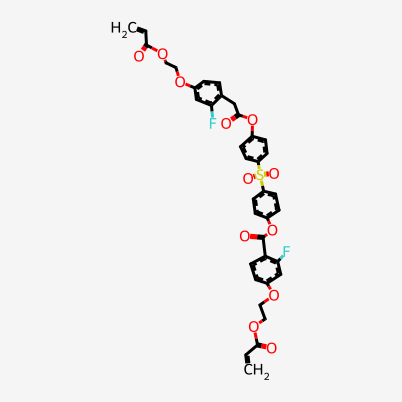 C=CC(=O)OCCOc1ccc(CC(=O)Oc2ccc(S(=O)(=O)c3ccc(OC(=O)c4ccc(OCCOC(=O)C=C)cc4F)cc3)cc2)c(F)c1